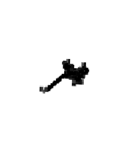 CCCCCCCCCCCCCC(=O)O[C@@H]1[C@H](OC)[C@@H]([C@@H](O[C@H]2OC(C(=O)N[C@H]3CCCCNC3=O)=C[C@H](O)[C@@H]2O)C(N)=O)O[C@H]1n1ccc(=O)[nH]c1=O